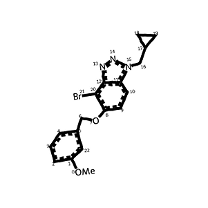 COc1cccc(COc2ccc3c(nnn3CC3CC3)c2Br)c1